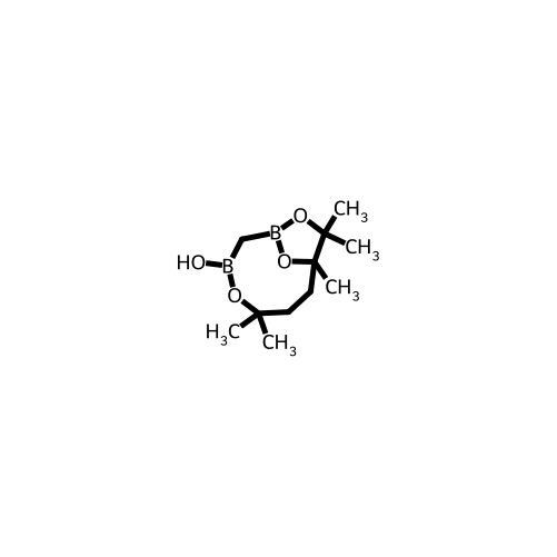 CC1(C)CCC2(C)OB(CB(O)O1)OC2(C)C